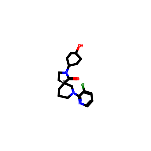 O=C1N(C2CCC(O)CC2)CC[C@]12CCCN(c1ncccc1Cl)C2